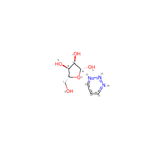 OC[C@H]1O[C@@H](O)[C@H](O)[C@@H]1O.c1cnnnc1